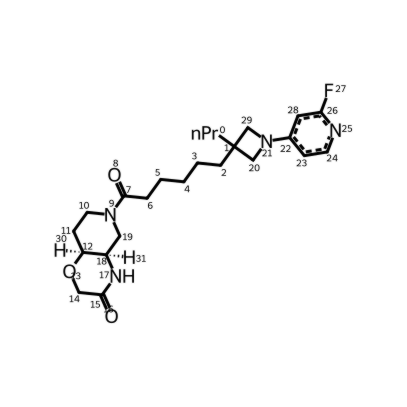 CCCC1(CCCCCC(=O)N2CC[C@@H]3OCC(=O)N[C@@H]3C2)CN(c2ccnc(F)c2)C1